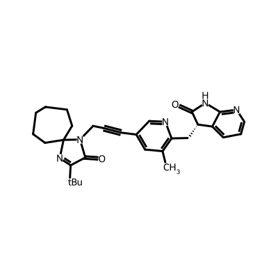 Cc1cc(C#CCN2C(=O)C(C(C)(C)C)=NC23CCCCCC3)cnc1C[C@@H]1C(=O)Nc2ncccc21